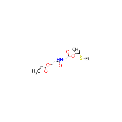 C=CC(=O)OCCC(=O)NCC(=O)OC(C)CSCC